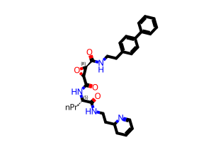 CCC[C@H](NC(=O)C1O[C@H]1C(=O)NCCc1ccc(-c2ccccc2)cc1)C(=O)NCCC1CC=CC=N1